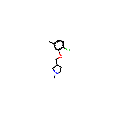 Cc1ccc(Cl)c(OCC2CCN(C)C2)c1